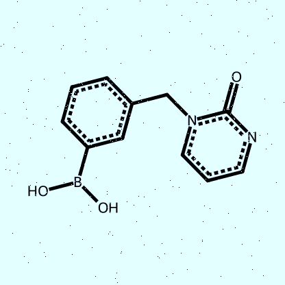 O=c1ncccn1Cc1cccc(B(O)O)c1